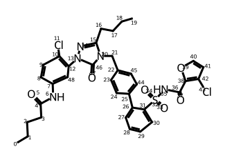 CCCCC(=O)Nc1ccc(Cl)c(-n2nc(CCCC)n(Cc3ccc(-c4ccccc4S(=O)(=O)NC(=O)c4occc4Cl)cc3)c2=O)c1